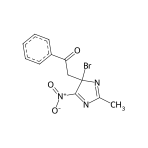 CC1=NC(Br)(CC(=O)c2ccccc2)C([N+](=O)[O-])=N1